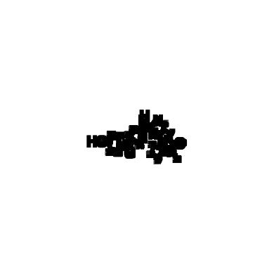 C=C(/N=C1\C(=C/N)C=C(C(=O)N(C)C)N1C1CCCC1)Nc1ccc(C(=O)N2CCC(O)CC2)cn1